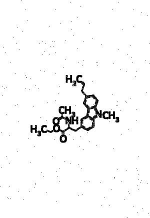 C=CCc1ccc2c(c1)c1cc(CC(NC(C)=O)C(=O)OCC)ccc1n2C